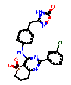 O=c1[nH]c(Cc2ccc(Nc3nc(-c4cccc(Cl)c4)nc4c3S(=O)(=O)CCC4)cc2)no1